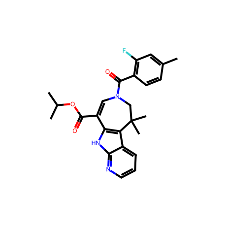 Cc1ccc(C(=O)N2C=C(C(=O)OC(C)C)c3[nH]c4ncccc4c3C(C)(C)C2)c(F)c1